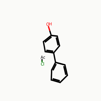 CC(=O)Cl.Oc1ccc(-c2ccccc2)cc1